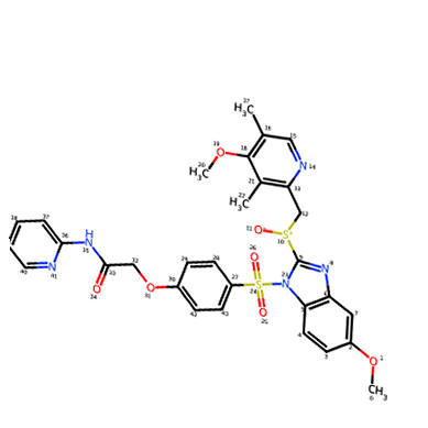 COc1ccc2c(c1)nc([S+]([O-])Cc1ncc(C)c(OC)c1C)n2S(=O)(=O)c1ccc(OCC(=O)Nc2ccccn2)cc1